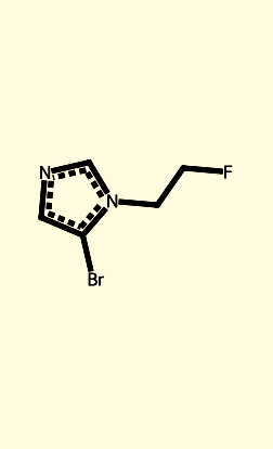 FCCn1cncc1Br